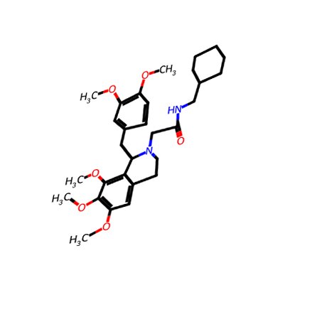 COc1ccc(CC2c3c(cc(OC)c(OC)c3OC)CCN2CC(=O)NCC2CCCCC2)cc1OC